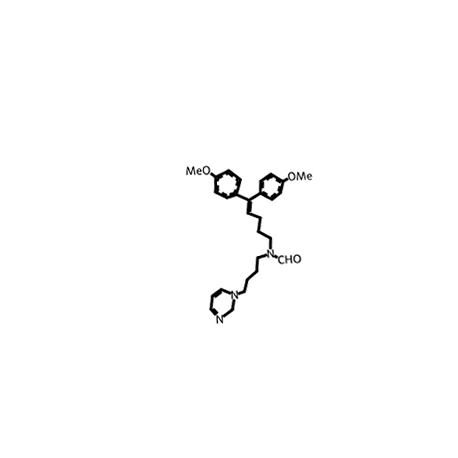 COc1ccc(C(=CCCCN(C=O)CCCCN2C=CC=NC2)c2ccc(OC)cc2)cc1